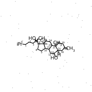 CC(C)CCC[C@](C)(O)C1CCC2C3C[C@H](O)[C@H]4C[C@@H](C)CC[C@]4(C)C3CC[C@@]21C